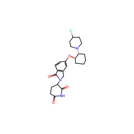 O=C1CCC(N2Cc3cc(O[C@@H]4CCCC[C@H]4N4CCC(F)CC4)ccc3C2=O)C(=O)N1